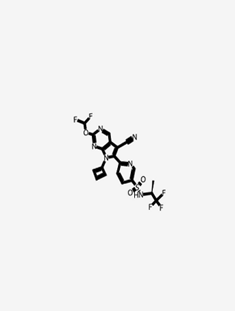 C[C@H](NS(=O)(=O)c1ccc(-c2c(C#N)c3cnc(OC(F)F)nc3n2C2=CC=C2)nc1)C(F)(F)F